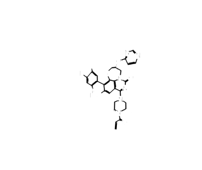 C=CC(=O)N1[C@H](C)CN(c2nc(=O)n3c4c(c(-c5cc(Cl)c(F)cc5F)c(C(F)(F)F)cc24)SC[C@@H](Oc2ccncn2)C3)C[C@@H]1C